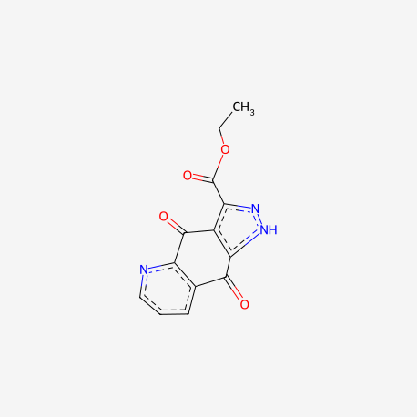 CCOC(=O)c1n[nH]c2c1C(=O)c1ncccc1C2=O